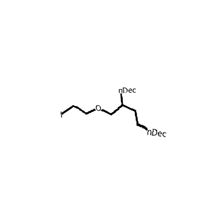 CCCCCCCCCCCCC(CCCCCCCCCC)COCCI